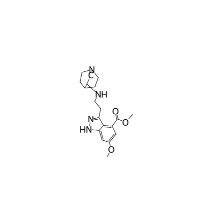 COC(=O)c1cc(OC)cc2[nH]nc(CCNC3CN4CCC3CC4)c12